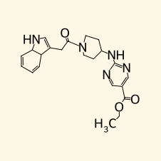 CCOC(=O)c1cnc(NC2CCN(C(=O)CC3=CNC4C=CC=CC34)CC2)nc1